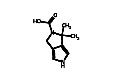 CC1(C)c2c[nH]cc2CN1C(=O)O